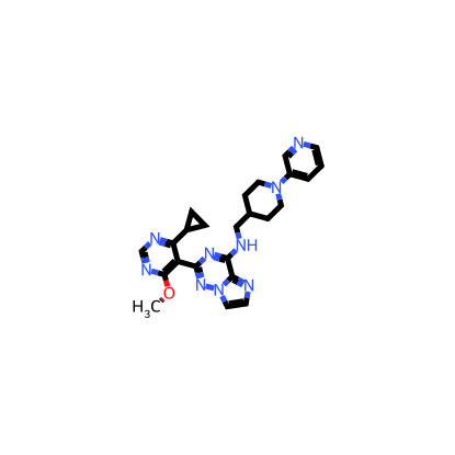 COc1ncnc(C2CC2)c1-c1nc(NCC2CCN(c3cccnc3)CC2)c2nccn2n1